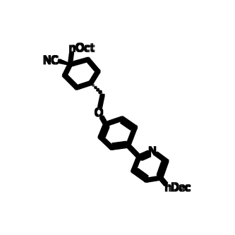 CCCCCCCCCCc1ccc(-c2ccc(OC[C@H]3CC[C@@](C#N)(CCCCCCCC)CC3)cc2)nc1